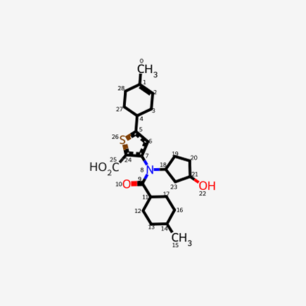 CC1=CCC(c2cc(N(C(=O)C3CCC(C)CC3)C3CCC(O)C3)c(C(=O)O)s2)CC1